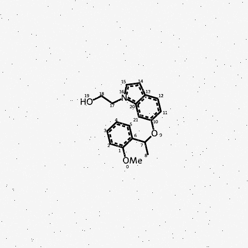 COc1ccccc1C(C)Oc1ccc2ccn(CCO)c2c1